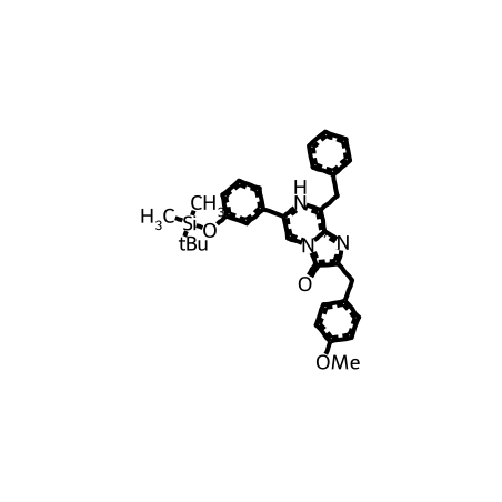 COc1ccc(Cc2nc3c(Cc4ccccc4)[nH]c(-c4cccc(O[Si](C)(C)C(C)(C)C)c4)cn-3c2=O)cc1